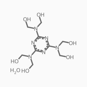 O.OCN(CO)c1nc(N(CO)CO)nc(N(CO)CO)n1